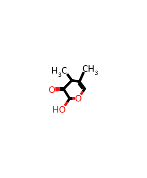 CC1=COC(O)C(=O)C1C